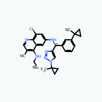 CC(C)(C)CNc1c(C#N)cnc2c(Cl)cc(N[C@@H](c3cccc(C4(C#N)CC4)c3)c3cn(C4(C(F)(F)F)CC4)nn3)cc12